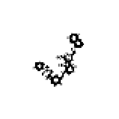 O=C(NS(=O)(=O)c1ccccc1)c1cccc(CCc2cccc3c(CCCOc4cccc5ccccc45)c(C(=O)O)[nH]c23)c1